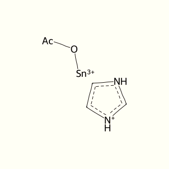 CC(=O)[O][Sn+3].c1c[nH+]c[nH]1